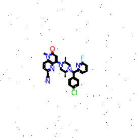 C[C@H]1CN(C(c2ccc(Cl)cc2)c2cccc(F)n2)[C@@H](C)CN1c1cc(=O)n(C)c2ccc(C#N)nc12